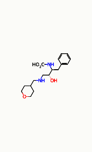 O=C(O)N[C@@H](Cc1ccccc1)[C@H](O)CNCC1CCOCC1